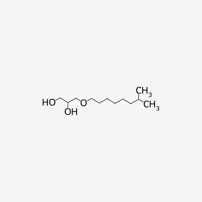 CC(C)CCCCCCOCC(O)CO